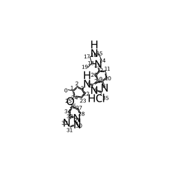 Cc1cc(Nc2ncnc3ccc(N4CCNCC4C)cc23)ccc1Oc1ccn2ncnc2c1.Cl